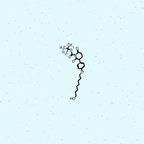 CC(C)(C)OC(=O)N1C(=O)CCC(c2ccc(OCCCCCCCCO)cc2)C1=O